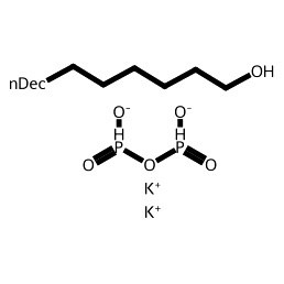 CCCCCCCCCCCCCCCCO.O=[PH]([O-])O[PH](=O)[O-].[K+].[K+]